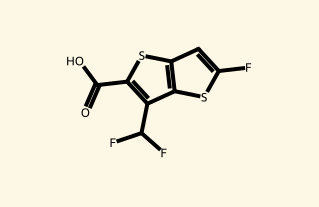 O=C(O)c1sc2cc(F)sc2c1C(F)F